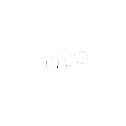 CC1(C)Oc2ccccc2CC1(C)c1ccc(O)cc1